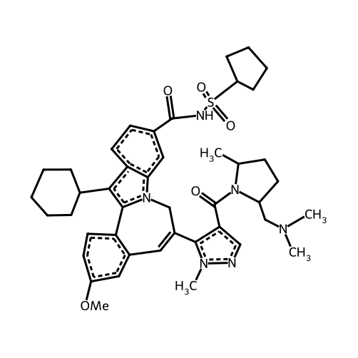 COc1ccc2c(c1)C=C(c1c(C(=O)N3C(C)CCC3CN(C)C)cnn1C)Cn1c-2c(C2CCCCC2)c2ccc(C(=O)NS(=O)(=O)C3CCCC3)cc21